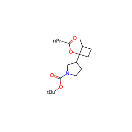 CCCC(=O)OC1(C2CCN(C(=O)OC(C)(C)C)C2)CCC1C